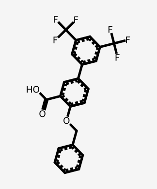 O=C(O)c1cc(-c2cc(C(F)(F)F)cc(C(F)(F)F)c2)ccc1OCc1ccccc1